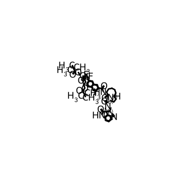 CC(C)(C)C(=O)OCOP(=O)(OCOC(=O)C(C)(C)C)C(F)(F)c1ccc2ccc(C(=O)NC3CCCC[C@H]4CC[C@@H](C(=O)N5C[C@@H](C#N)[C@@]6(C5)C(=O)Nc5ccccc56)N4C3=O)cc2c1